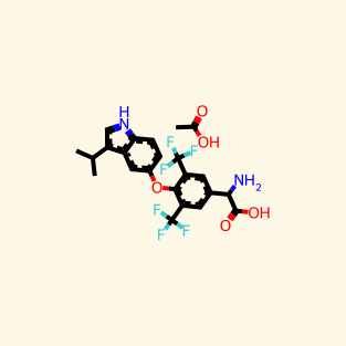 CC(=O)O.CC(C)c1c[nH]c2ccc(Oc3c(C(F)(F)F)cc(C(N)C(=O)O)cc3C(F)(F)F)cc12